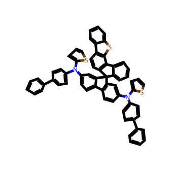 c1ccc(-c2ccc(N(c3ccc4c(c3)C3(c5cc(N(c6ccc(-c7ccccc7)cc6)c6cccs6)ccc5-4)c4ccccc4-c4c3ccc3c4sc4ccccc43)c3cccs3)cc2)cc1